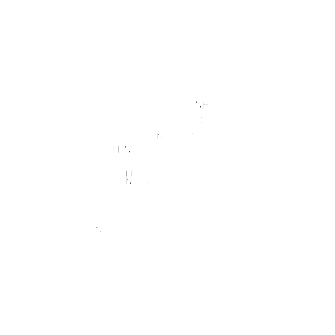 Nc1ncc(-c2ccccc2S(N)(=O)=O)cc1C(=O)Nc1ccncc1